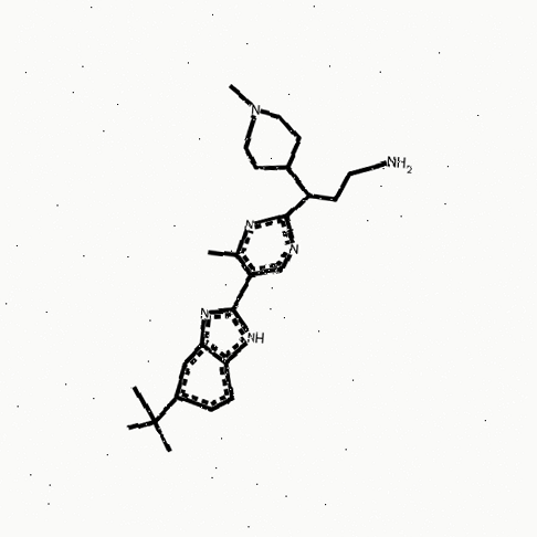 Cc1nc(C(CCN)C2CCN(C)CC2)ncc1-c1nc2cc(C(C)(C)C)ccc2[nH]1